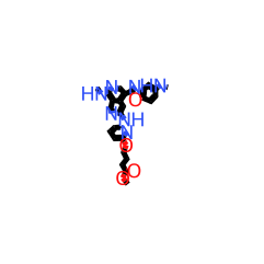 CNc1ccc2oc(-c3cnc(NC)c4cnc(Nc5cccc(OCCCC(=O)OC)n5)cc34)nc2c1